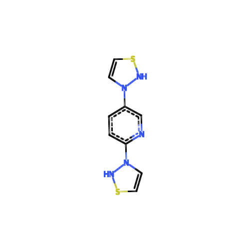 C1=CN(c2ccc(N3C=CSN3)nc2)NS1